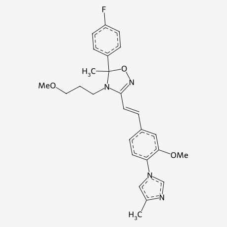 COCCCN1C(/C=C/c2ccc(-n3cnc(C)c3)c(OC)c2)=NOC1(C)c1ccc(F)cc1